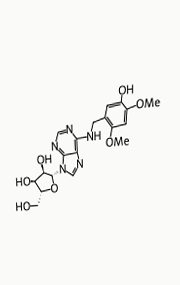 COc1cc(OC)c(CNc2ncnc3c2ncn3[C@@H]2O[C@H](CO)[C@@H](O)[C@H]2O)cc1O